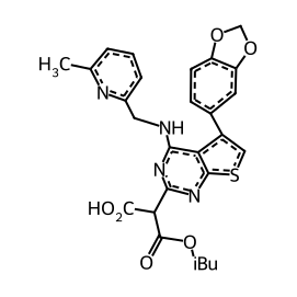 CCC(C)OC(=O)C(C(=O)O)c1nc(NCc2cccc(C)n2)c2c(-c3ccc4c(c3)OCO4)csc2n1